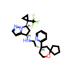 FC(F)(F)C1([C@H]2C[C@@H](NCC[C@@]3(c4ccccn4)CCOC4(CCCC4)C3)c3ccnn32)CC1